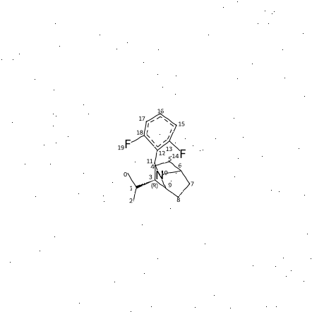 CC(C)[C@H]1CCC2CCC1N2Cc1c(F)cccc1F